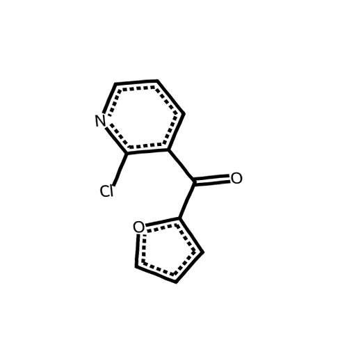 O=C(c1ccco1)c1cccnc1Cl